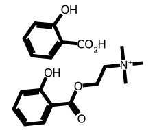 C[N+](C)(C)CCOC(=O)c1ccccc1O.O=C(O)c1ccccc1O